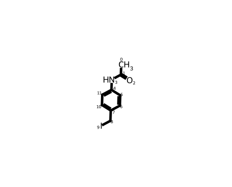 CC(=O)Nc1ccc(CI)cc1